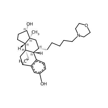 C=C[C@@]12CCc3cc(O)ccc3[C@H]1[C@@H](CCCCCN1CCOCC1)C[C@@]1(C)[C@H]2CC[C@@H]1O